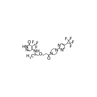 C[C@@H](COCCC(=O)N1CCN(c2ncc(C3C(F)(F)C3(F)F)cn2)CC1)Nc1cn[nH]c(=O)c1C(F)(F)F